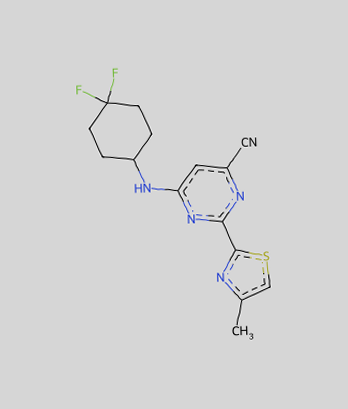 Cc1csc(-c2nc(C#N)cc(NC3CCC(F)(F)CC3)n2)n1